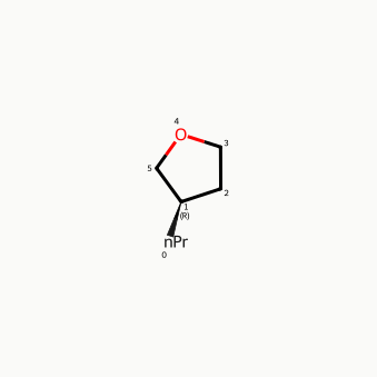 CCC[C@@H]1CCOC1